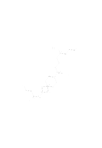 CCCCC(C)CCCN(C)C1CCC2(CC1)CC(NC(C)CCC)C2